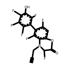 C#CCN1c2c(cc(F)c(-c3c(F)c(O)c(F)c(F)c3F)c2F)OC(=O)C1F